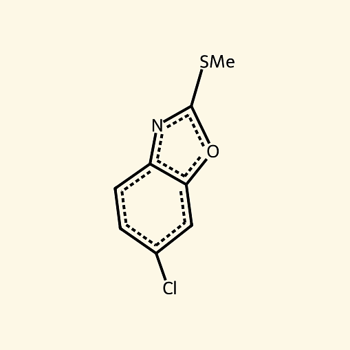 CSc1nc2ccc(Cl)cc2o1